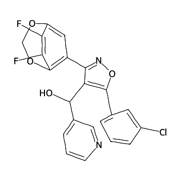 OC(c1cccnc1)c1c(-c2cc3c(F)c(F)c2OCO3)noc1-c1cccc(Cl)c1